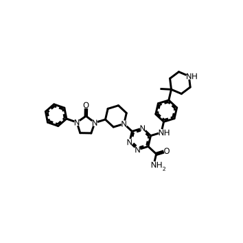 CC1(c2ccc(Nc3nc(N4CCCC(N5CCN(c6ccccc6)C5=O)C4)nnc3C(N)=O)cc2)CCNCC1